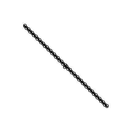 COCCOCCOCCOCCOCCOCCOCCOCCOCCOCCOCCOCCOCCOCCOCCOCCOCCOCCOCCOCCOCCOCCOC(=O)OCCOCCOCCOCCOCCOCCOCCOCCOCCOCCOCCOCCOCCOCCOCCOCCOCCOCCOCCOCCOCCOCCOC